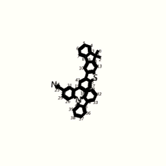 CC1(C)c2ccccc2-c2cc3c(cc21)sc1ccc(-c2cc(C#N)ccc2-n2c4ccccc4c4ccccc42)cc13